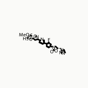 COP(=S)(S)OC1CC(c2ccc(-c3ccc(N4C[C@H](Cn5ccnn5)OC4=O)cc3F)cn2)=NO1